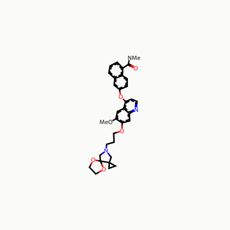 CNC(=O)c1cccc2cc(Oc3ccnc4cc(OCCCN5CC6(CC6)C6(C5)OCCO6)c(OC)cc34)ccc12